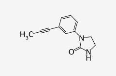 CC#Cc1cccc(N2CCNC2=O)c1